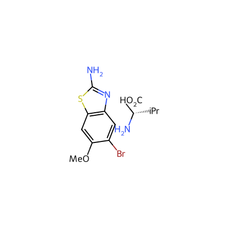 CC(C)[C@H](N)C(=O)O.COc1cc2sc(N)nc2cc1Br